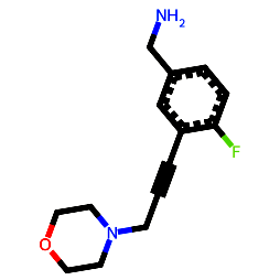 NCc1ccc(F)c(C#CCN2CCOCC2)c1